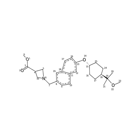 COC(=O)C1CN(Cc2ccc3cc(O[C@H]4CC[C@H](C(C)(C)OC)CC4)ccc3c2)C1